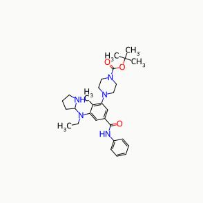 CCN(c1cc(C(=O)Nc2ccccc2)cc(N2CCN(C(=O)OC(C)(C)C)CC2)c1C)C1CCCN1